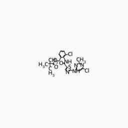 Cc1nc(Cl)cc(Nc2ncc(C(=O)Nc3c(Cl)cccc3COC(=O)C(C)(C)C)s2)n1